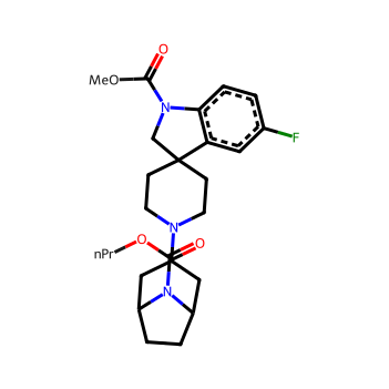 CCCOC(=O)N1C2CCC1CC(N1CCC3(CC1)CN(C(=O)OC)c1ccc(F)cc13)C2